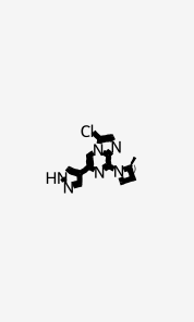 C[C@H]1CCN1c1nc(-c2cn[nH]c2)cn2c(Cl)cnc12